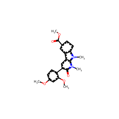 COC(=O)c1ccc2c(c1)c1cc(-c3ccc(OC)cc3OC)c(=O)n(C)c1n2C